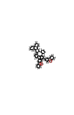 c1ccc2c(c1)-c1cc3c4ccccc4c4ccccc4c3cc1-c1cccc(-c3ccc4oc5ccccc5c4c3)c1-c1ccc(-c3ccc4oc5ccccc5c4c3)cc1-2